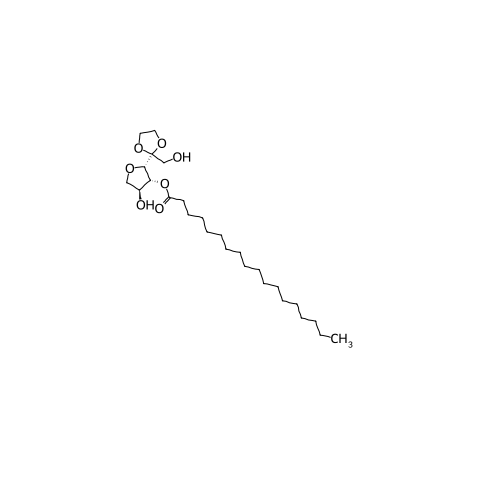 CCCCCCCCCCCCCCCCCC(=O)O[C@@H]1[C@@H](O)CO[C@@H]1C1(CO)OCCO1